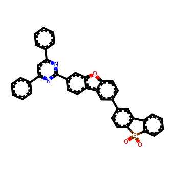 O=S1(=O)c2ccccc2-c2cc(-c3ccc4oc5cc(-c6nc(-c7ccccc7)cc(-c7ccccc7)n6)ccc5c4c3)ccc21